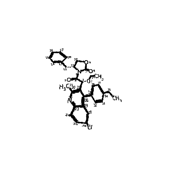 CCO[C@@H](C(=O)N1C(=O)OC[C@H]1Cc1ccccc1)c1c(C)nc2ccc(Cl)cc2c1-c1ccc(CC)cc1